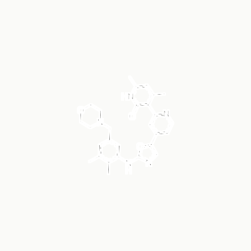 Cc1cc(C)c(-c2cc(-c3cnc(Nc4cc(CN5CCOCC5)cc(C)c4C)o3)ccn2)c(=O)[nH]1